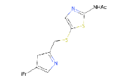 CC(=O)Nc1ncc(SCC2=NC=C(C(C)C)C2)s1